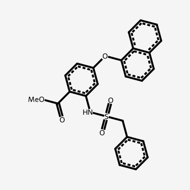 COC(=O)c1ccc(Oc2cccc3ccccc23)cc1NS(=O)(=O)Cc1ccccc1